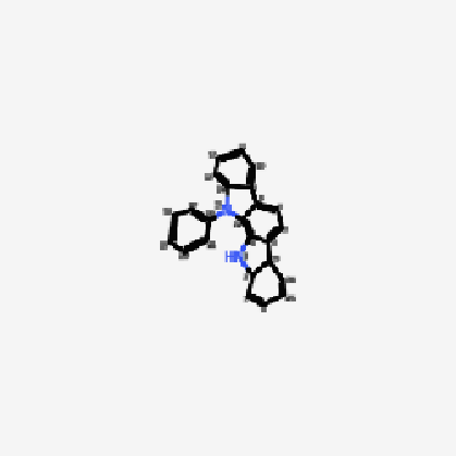 C1=CC2Nc3c(ccc4c5ccccc5n(-c5ccccc5)c34)C2C=C1